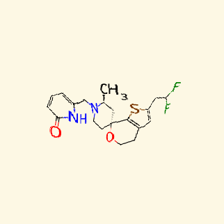 C[C@H]1C[C@@]2(CCN1Cc1cccc(=O)[nH]1)OCCc1cc(CC(F)F)sc12